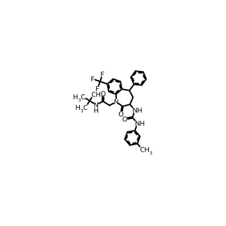 Cc1cccc(NC(=O)NC2CC(c3ccccc3)c3ccc(C(F)(F)F)cc3N(CC(=O)NC(C)(C)C)C2=O)c1